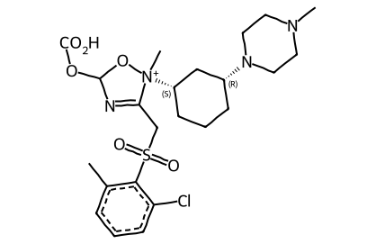 Cc1cccc(Cl)c1S(=O)(=O)CC1=NC(OC(=O)O)O[N+]1(C)[C@H]1CCC[C@@H](N2CCN(C)CC2)C1